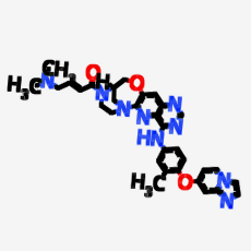 Cc1cc(Nc2ncnc3cc4c(nc23)N2CCN(C(=O)/C=C/CN(C)C)[C@H](CO4)C2)ccc1Oc1ccn2ccnc2c1